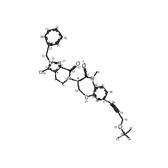 CN1C(=O)[C@H](N2CCc3c(nn(Cc4ccccc4)c3Cl)C2=O)COc2cc(C#CCOC(C)(C)C)ccc21